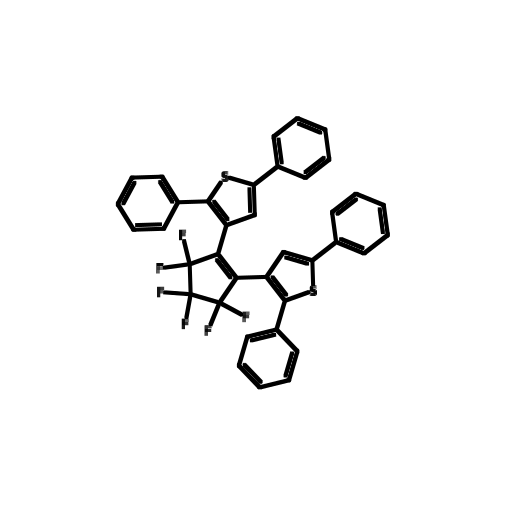 FC1(F)C(c2cc(-c3ccccc3)sc2-c2ccccc2)=C(c2cc(-c3ccccc3)sc2-c2ccccc2)C(F)(F)C1(F)F